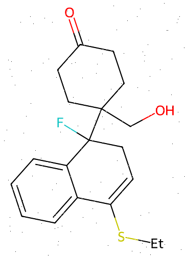 CCSC1=CCC(F)(C2(CO)CCC(=O)CC2)c2ccccc21